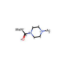 [CH2]C(=O)N1CCN(C(=O)NC)CC1